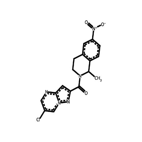 CC1c2ccc([N+](=O)[O-])cc2CCN1C(=O)c1cc2ncc(Cl)cn2n1